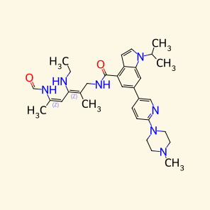 CCNC(/C=C(/C)NC=O)=C(/C)CNC(=O)c1cc(-c2ccc(N3CCN(C)CC3)nc2)cc2c1ccn2C(C)C